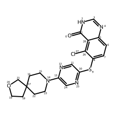 O=c1[nH]cnc2ccc(Sc3cnc(N4CCC5(CCOC5)CC4)cn3)c(Cl)c12